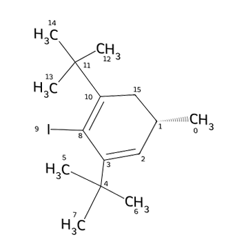 C[C@@H]1C=C(C(C)(C)C)C(I)=C(C(C)(C)C)C1